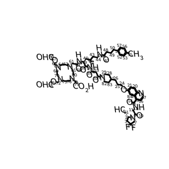 C#C[C@H]1CC(F)(F)CN1C(=O)CNC(=O)c1ccnc2ccc(OCCCC3CCN(C(=O)CC(=O)NC(=O)[C@H](CC(F)CCNC(=O)CCCc4ccc(C)cc4)NC(=O)CN4CCN(COC=O)CCN(COC=O)CCN(CC(=O)O)CC4)CC3)cc12